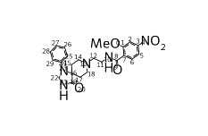 COc1cc([N+](=O)[O-])ccc1C(=O)NCCN1CCC2(CC1)C(=O)NCN2c1ccccc1